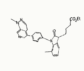 CCOC(=O)CCCC1C(=O)N(c2ccc(-c3cncc4c3cnn4C)cc2)c2c(C)cccc21